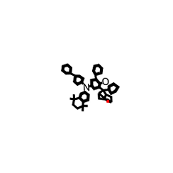 CC1(C)CCC(C)(C)c2cc(N(c3ccc(-c4ccccc4)cc3)c3cc(-c4ccccc4)c4c(c3)C3(c5ccccc5O4)C4CC5CC(C4)C3C5)ccc21